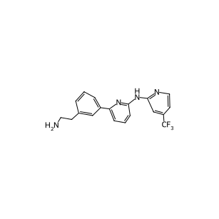 NCCc1cccc(-c2cccc(Nc3cc(C(F)(F)F)ccn3)n2)c1